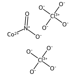 O=[N+]([O-])[Co+2].[O-][Cl+3]([O-])([O-])[O-].[O-][Cl+3]([O-])([O-])[O-]